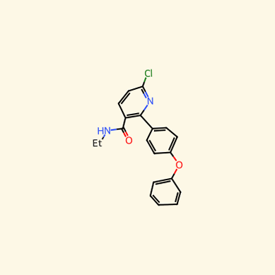 CCNC(=O)c1ccc(Cl)nc1-c1ccc(Oc2ccccc2)cc1